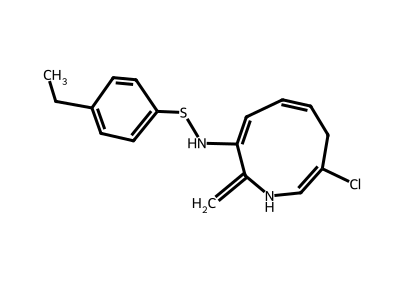 C=C1N/C=C(/Cl)C/C=C\C=C/1NSc1ccc(CC)cc1